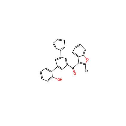 CCc1oc2ccccc2c1C(=O)c1cc(-c2ccccc2)cc(-c2ccccc2O)c1